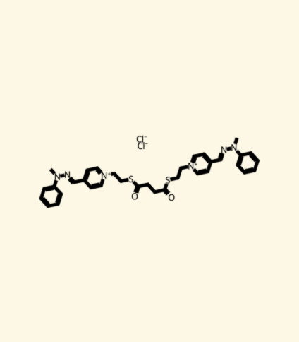 CN(/N=C/c1cc[n+](CCSC(=O)CCC(=O)SCC[n+]2ccc(/C=N/N(C)c3ccccc3)cc2)cc1)c1ccccc1.[Cl-].[Cl-]